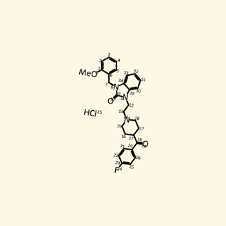 COc1ccccc1Cn1c(=O)n(CCN2CCC(C(=O)c3ccc(F)cc3)CC2)c2ccccc21.Cl